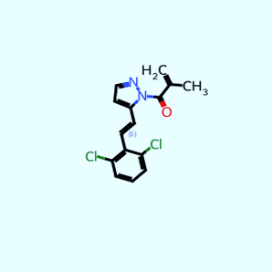 C=C(C)C(=O)n1nccc1/C=C/c1c(Cl)cccc1Cl